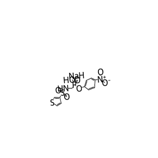 O=[N+]([O-])c1ccc(OP(=O)(O)CNS(=O)(=O)c2ccsc2)cc1.[NaH]